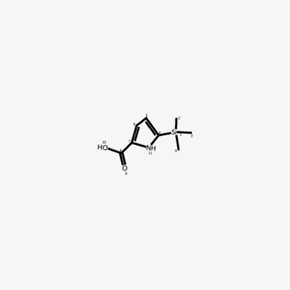 C[Si](C)(C)c1ccc(C(=O)O)[nH]1